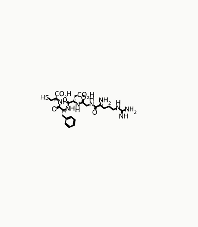 N=C(N)NCCC[C@H](N)C(=O)NCC(=O)N[C@@H](CC(=O)O)C(=O)N[C@H](Cc1ccccc1)C(=O)N[C@@H](CS)C(=O)O